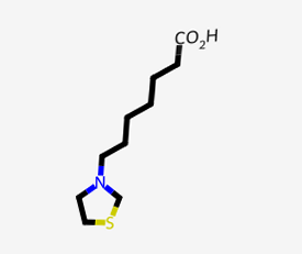 O=C(O)CCCCCCN1CCSC1